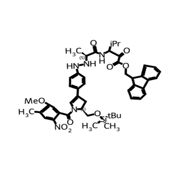 COc1cc(C(=O)N2C=C(c3ccc(NN[C@@H](C)C(=O)NC(C(=O)C(=O)OCC4c5ccccc5-c5ccccc54)C(C)C)cc3)C[C@H]2CO[Si](C)(C)C(C)(C)C)c([N+](=O)[O-])cc1C